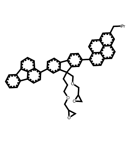 CC(C)Cc1cc2ccc3ccc(-c4ccc5c(c4)C(CCCOCC4CO4)(COCC4CO4)c4cc(-c6ccc7c8c(cccc68)-c6ccccc6-7)ccc4-5)c4ccc(c1)c2c34